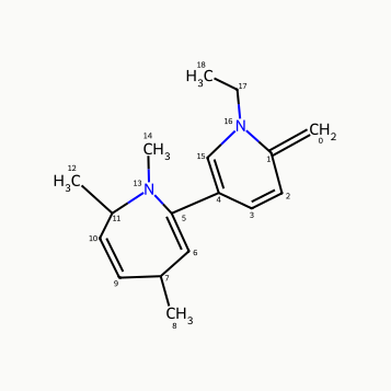 C=C1C=CC(C2=CC(C)C=CC(C)N2C)=CN1CC